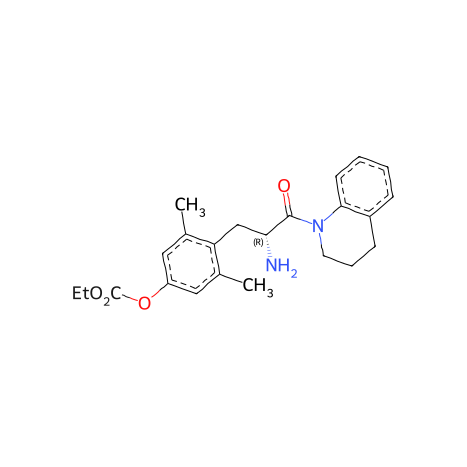 CCOC(=O)Oc1cc(C)c(C[C@@H](N)C(=O)N2CCCc3ccccc32)c(C)c1